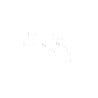 Cc1cc(F)c(-c2nc3cc(C(F)(F)F)nnc3n2C)nc1C(=O)O